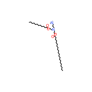 CCCCCCCCCCCCCCCCCCCCCC(=O)OCCN(CCCN(C)C)CCOC(=O)CCCCCCCCCCC